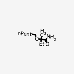 CCCCCCOC(C)(CC)C(N)=O